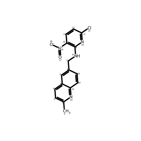 Cc1ccc2cc(CNc3nc(Cl)ccc3[N+](=O)[O-])ccc2n1